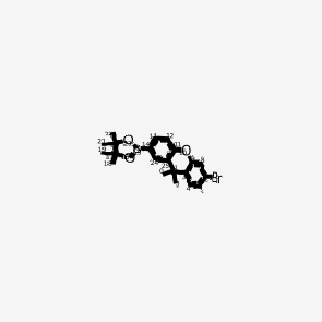 CC1(C)c2ccc(Br)cc2Oc2ccc(B3OC(C)(C)C(C)(C)O3)cc21